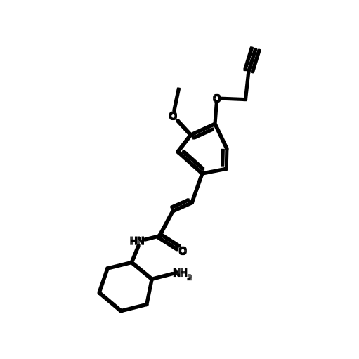 C#CCOc1ccc(/C=C/C(=O)NC2CCCCC2N)cc1OC